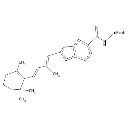 CCCCCNC(=O)c1ccc2cc(/C=C(C)/C=C/C3=C(C)CCCC3(C)C)oc2c1